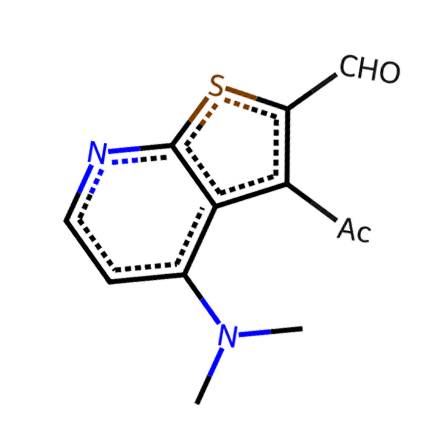 CC(=O)c1c(C=O)sc2nccc(N(C)C)c12